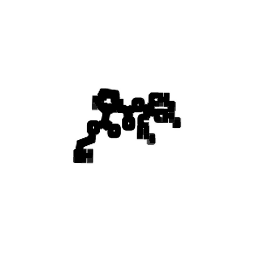 CC(C)(C)OC(=O)n1ccnc1C(=O)OCCS